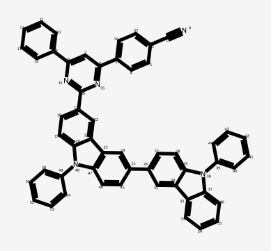 N#Cc1ccc(-c2cc(-c3ccccc3)nc(-c3ccc4c(c3)c3cc(-c5ccc6c(c5)c5ccccc5n6-c5ccccc5)ccc3n4-c3ccccc3)n2)cc1